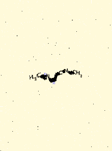 C=CN=C=C/C=C\N=C\C